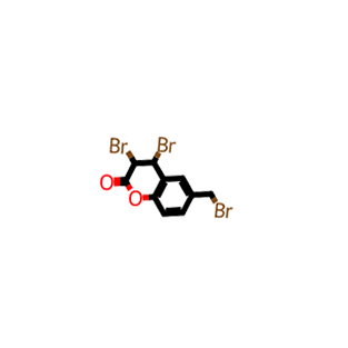 O=C1Oc2ccc(CBr)cc2C(Br)C1Br